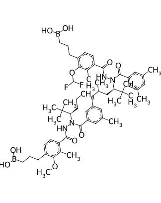 CCC[C@@H](N(NC(=O)c1ccc(CCCB(O)O)c(OC)c1C)C(=O)c1cc(C)cc(CC(C)C[C@@H](N(NC(=O)c2ccc(CCCB(O)O)c(OC(F)F)c2C)C(=O)c2cc(C)cc(C)c2)C(C)(C)C)c1)C(C)(C)C